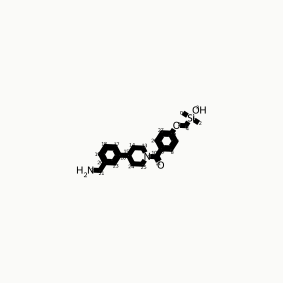 C[Si](C)(O)COc1ccc(C(=O)N2CCC(c3cccc(CN)c3)CC2)cc1